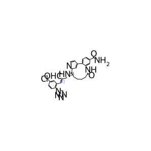 NC(=O)c1ccc2c(c1)NC(=O)CCCC[C@H](NC/C(C=O)=C/c1cc(Cl)ccc1-n1cnnn1)c1cc-2ccn1